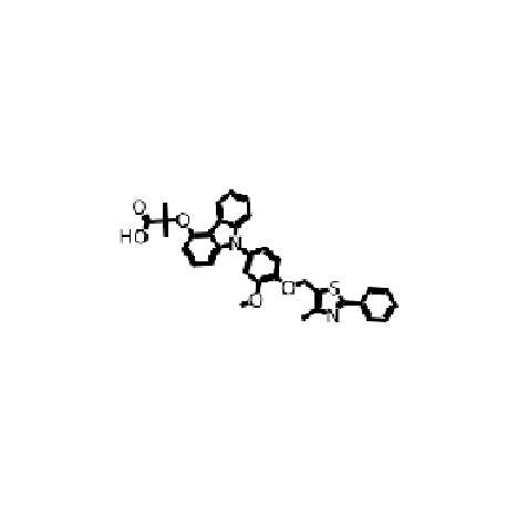 COc1cc(-n2c3ccccc3c3c(OC(C)(C)C(=O)O)cccc32)ccc1OCc1sc(-c2ccccc2)nc1C